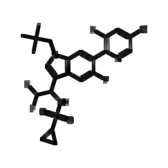 CC(C)(C)Cn1cc(C(NS(=O)(=O)C2CC2)C(F)F)c2cc(F)c(-c3ncc(Cl)cc3F)cc21